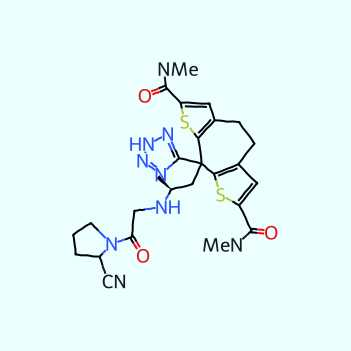 CNC(=O)c1cc2c(s1)C(C[C@H](C)NCC(=O)N1CCCC1C#N)(c1nn[nH]n1)c1sc(C(=O)NC)cc1CC2